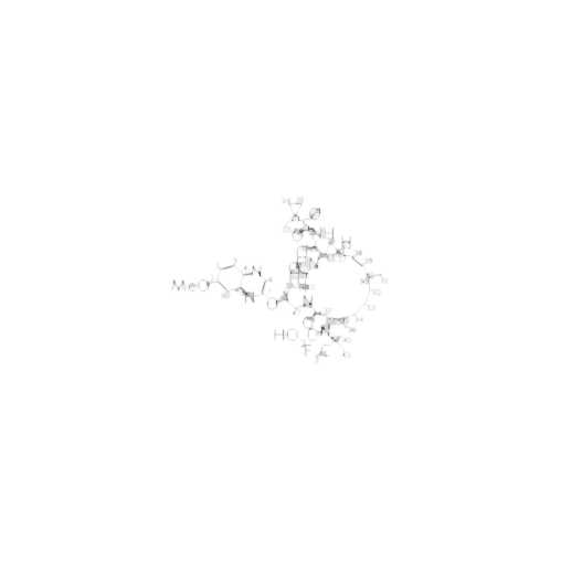 COc1ccc2ncc(O[C@@H]3C[C@H]4C(=O)N[C@]5(C(=O)NS(=O)(=O)C6(C)CC6)C[C@H]5C=C[C@@H](C)CCC[C@@H](C)[C@H](N(C(=O)O)C(C)(C)C(F)(F)F)C(=O)N4C3)nc2c1